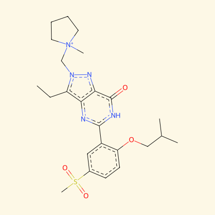 CCc1c2nc(-c3cc(S(C)(=O)=O)ccc3OCC(C)C)[nH]c(=O)c2nn1C[N+]1(C)CCCC1